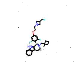 C[C@@H]1Cc2c([nH]c3ccccc23)[C@@H](c2c(F)cc(OCCN3CC(CF)C3)cc2F)N1CC1(C)CCC1